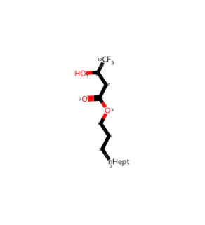 CCCCCCCCCCOC(=O)CC(O)C(F)(F)F